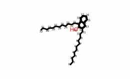 CCCCCCCCCCCCc1cc2ccccc2c(CCCCCCCCCCCC)c1O